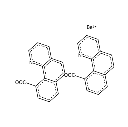 O=C([O-])c1cccc2ccc3cccnc3c12.O=C([O-])c1cccc2ccc3cccnc3c12.[Be+2]